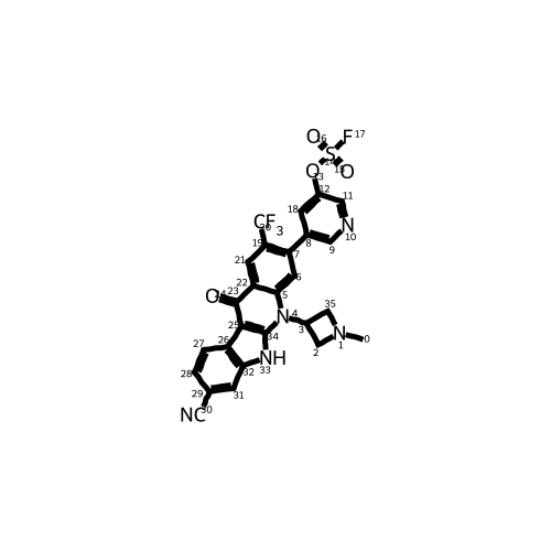 CN1CC(n2c3cc(-c4cncc(OS(=O)(=O)F)c4)c(C(F)(F)F)cc3c(=O)c3c4ccc(C#N)cc4[nH]c32)C1